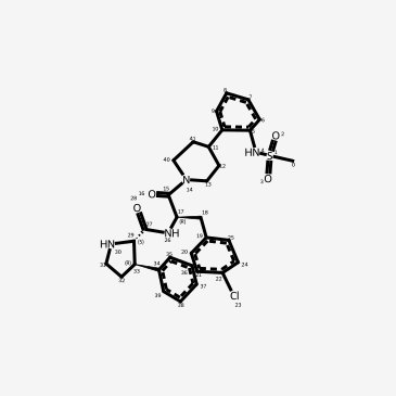 CS(=O)(=O)Nc1ccccc1C1CCN(C(=O)[C@@H](Cc2ccc(Cl)cc2)NC(=O)[C@H]2NCC[C@@H]2c2ccccc2)CC1